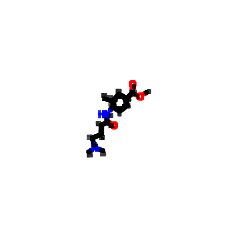 COC(=O)c1ccc(NC(=O)C=CCN(C)C)c(C)c1